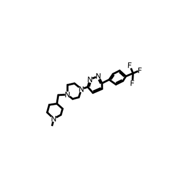 CN1CCC(CN2CCN(c3ccc(-c4ccc(C(F)(F)F)cc4)nn3)CC2)CC1